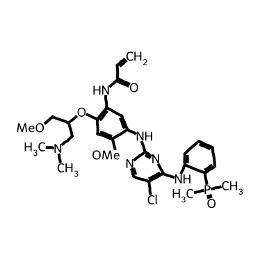 C=CC(=O)Nc1cc(Nc2ncc(Cl)c(Nc3ccccc3P(C)(C)=O)n2)c(OC)cc1OC(COC)CN(C)C